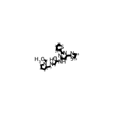 CCN1CCCC1CNCC(=O)Nc1cc(-c2nccs2)nc(-c2cccs2)n1